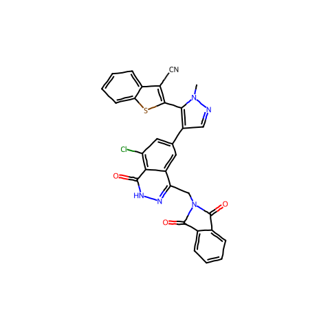 Cn1ncc(-c2cc(Cl)c3c(=O)[nH]nc(CN4C(=O)c5ccccc5C4=O)c3c2)c1-c1sc2ccccc2c1C#N